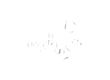 C[C@H](CC(C#N)(c1ccccc1)c1ccccc1)NC(=O)O